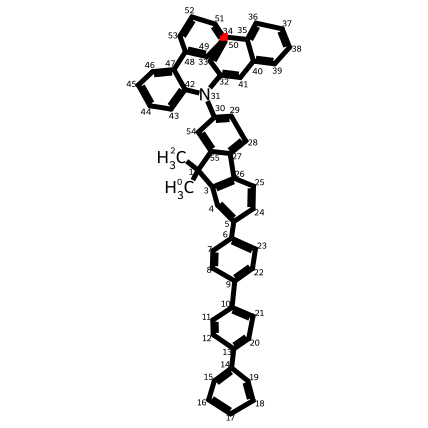 CC1(C)c2cc(-c3ccc(-c4ccc(-c5ccccc5)cc4)cc3)ccc2-c2ccc(N(c3ccc4ccccc4c3)c3ccccc3-c3ccccc3)cc21